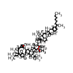 CCCCCCC(C)c1cccc(C[C@H](NC(=O)[C@H](C)[C@@H](OC)[C@@H]2CCCN2C(=O)C[C@@H](OC)[C@H]([C@@H](C)CC)N(C)C(=O)[C@@H](NC(=O)[C@H](C(C)C)N(C)C(=O)CCC2CN3C(=O)CC(C3=O)C(I)(CC(C)C)CC(C)(I)C3CC(=O)N2C3=O)C(C)C)C(=O)O)c1